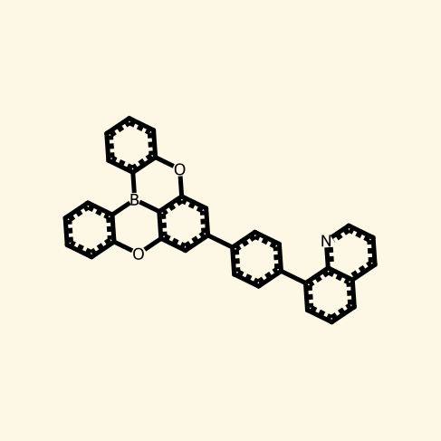 c1ccc2c(c1)Oc1cc(-c3ccc(-c4cccc5cccnc45)cc3)cc3c1B2c1ccccc1O3